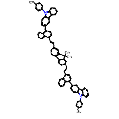 CC(C)(C)c1ccc(-n2c3ccccc3c3cc(-c4ccc(/C=C/c5ccc6c(c5)C(C)(C)c5cc(/C=C/c7ccc(-c8ccc9c(c8)c8ccccc8n9-c8ccc(C(C)(C)C)cc8)c8ccccc78)ccc5-6)c5ccccc45)ccc32)cc1